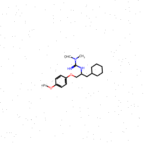 CCCOc1ccc(OCC(CC2CCCCC2)NC(=N)N(C)C=O)cc1